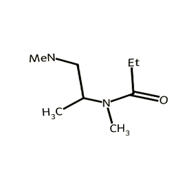 CCC(=O)N(C)C(C)CNC